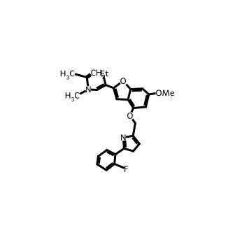 C=C(C)N(C)/C=C(\CC)c1cc2c(OCC3=CCC(c4ccccc4F)=N3)cc(OC)cc2o1